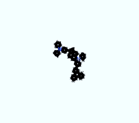 c1ccc(N(c2ccccc2)c2ccc(-c3ccc4ccc5c6c(ccc3c46)cc3c4cc(-c6ccc7c8ccccc8c8ccccc8c7c6)ccc4n(-c4ccccc4)c35)cc2)cc1